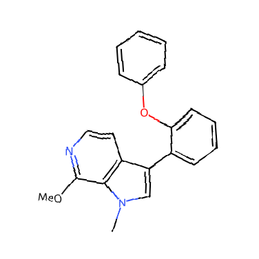 COc1nccc2c(-c3ccccc3Oc3ccccc3)cn(C)c12